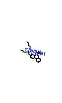 CCCCC1=NC(Cc2ccc(-c3ccccc3-c3nnn[nH]3)cc2)(C(F)(F)CCC)NN1